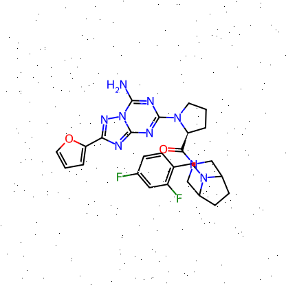 Nc1nc(N2CCC[C@H]2C(=O)N2CC3CCC(C2)N3Cc2ccc(F)cc2F)nc2nc(-c3ccco3)nn12